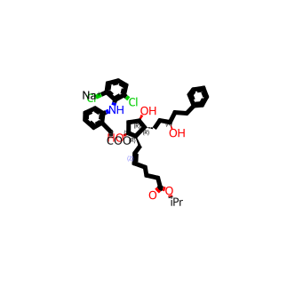 CC(C)OC(=O)CCC/C=C\C[C@@H]1[C@@H](CC[C@@H](O)CCc2ccccc2)[C@H](O)C[C@@H]1O.O=C([O-])Cc1ccccc1Nc1c(Cl)cccc1Cl.[Na+]